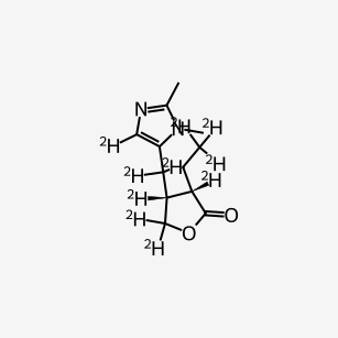 [2H]c1nc(C)n(C)c1C([2H])([2H])[C@@]1([2H])C([2H])([2H])OC(=O)[C@@]1([2H])CC([2H])([2H])[2H]